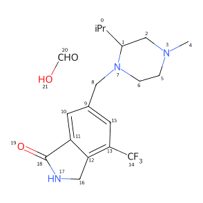 CC(C)C1CN(C)CCN1Cc1cc2c(c(C(F)(F)F)c1)CNC2=O.O=CO